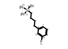 CC(C)[Si](CCCCc1cccc(F)c1)(C(C)C)C(C)C